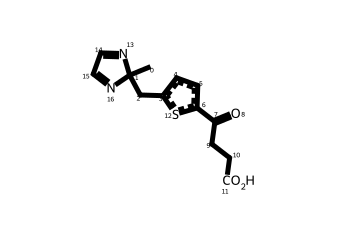 CC1(Cc2ccc(C(=O)CCC(=O)O)s2)N=CC=N1